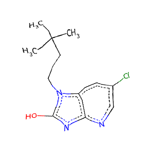 CC(C)(C)CCn1c(O)nc2ncc(Cl)cc21